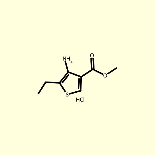 CCc1scc(C(=O)OC)c1N.Cl